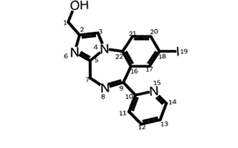 OCc1cn2c(n1)CN=C(c1ccccn1)c1cc(I)ccc1-2